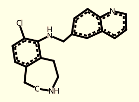 Clc1ccc2c(c1NCc1ccc3ncccc3c1)CCNCC2